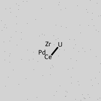 [Ce][U].[Pd].[Zr]